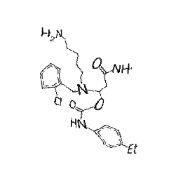 CCc1ccc(NC(=O)OC(CC([NH])=O)N(CCCCCN)Cc2ccccc2Cl)cc1